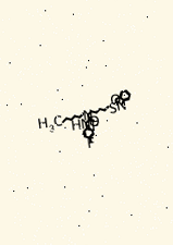 CCCCCCCN(CCCCCSc1nc2ccccc2o1)C(=O)Nc1ccc(F)cc1F